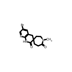 CN1CCC2(CCC1=O)Cc1cc(Br)cnc1NC2=O